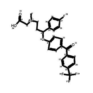 C[As](CCC(Oc1ccc(C(=O)c2ccc(C(F)(F)F)cc2)cc1)c1ccc(F)cc1)CC(=O)O